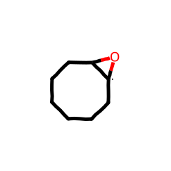 C1CCCC2O[C]2CC1